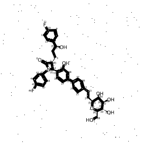 O=C1[C@H](CC[C@H](O)c2ccc(F)cc2)[C@@H](c2ccc(-c3ccc(CC[C@@H]4O[C@H](CO)[C@@H](O)[C@H](O)[C@H]4O)cc3)cc2O)N1c1ccc(F)cc1